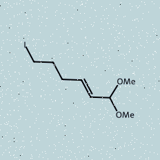 COC(/C=C/CCCI)OC